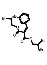 CCCCC(CC)COC(=O)C(=Cc1ccccc1)C(=O)OCC(CC)CCCC